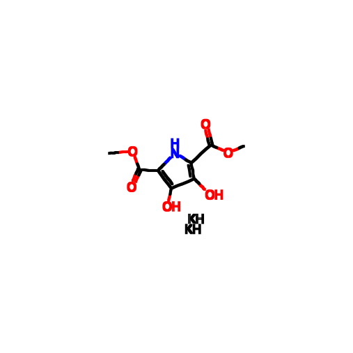 COC(=O)c1[nH]c(C(=O)OC)c(O)c1O.[KH].[KH]